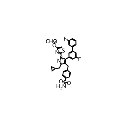 NS(=O)(=O)c1ccc(Cc2c(CC3CC3)nn(-c3nc(OC=O)cs3)c2-c2cc(F)cc(-c3cccc(F)c3)c2)cc1